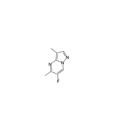 Cc1nc2c(C)cnn2cc1F